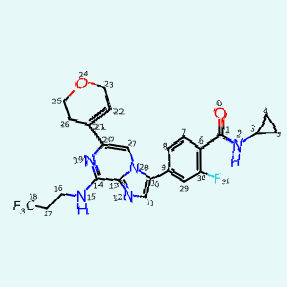 O=C(NC1CC1)c1ccc(-c2cnc3c(NCCC(F)(F)F)nc(C4=CCOCC4)cn23)cc1F